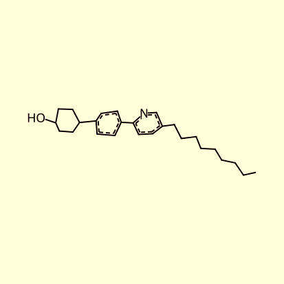 CCCCCCCCCc1ccc(-c2ccc(C3CCC(O)CC3)cc2)nc1